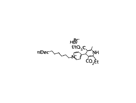 Br.CCCCCCCCCCCCCCCC[n+]1ccc(C2C(C(=O)OCC)=C(C)NC(C)=C2C(=O)OCC)cc1.[Br-]